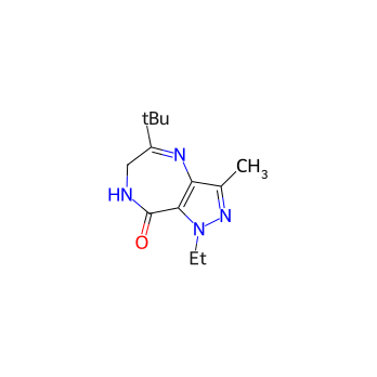 CCn1nc(C)c2c1C(=O)NCC(C(C)(C)C)=N2